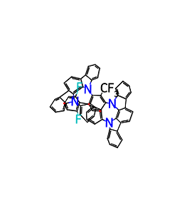 Fc1cccc(F)c1-c1ccc(-n2c3ccccc3c3ccc4c5ccccc5n(-c5ccccc5)c4c32)c(C(F)(F)F)c1-n1c2ccccc2c2ccc3c4ccccc4n(-c4ccccc4)c3c21